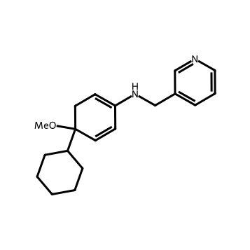 COC1(C2CCCCC2)C=CC(NCc2cccnc2)=CC1